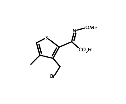 CON=C(C(=O)O)c1scc(C)c1CBr